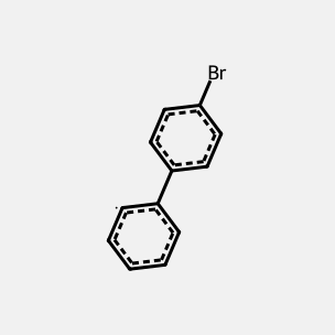 Brc1ccc(-c2[c]cccc2)cc1